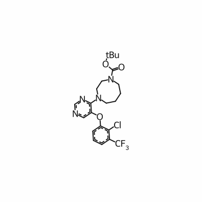 CC(C)(C)OC(=O)N1CCCCN(c2ncncc2Oc2cccc(C(F)(F)F)c2Cl)CC1